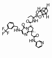 CC[C@H](NC(=O)[C@@H]1C[C@@](C)(CC(=O)Nc2cccnc2)c2ncc(NCc3cccc(C(F)(F)F)c3)c(=O)n21)B1O[C@@H]2C[C@@H]3C[C@@H](C3(C)C)[C@]2(C)O1